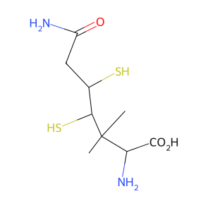 CC(C)(C(N)C(=O)O)C(S)C(S)CC(N)=O